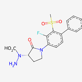 CS(=O)(=O)c1c(-c2ccccc2)ccc(N2CC[C@H](N(N)C(=O)O)C2=O)c1F